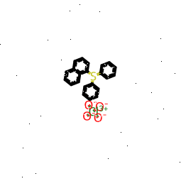 [O-][Cl+3]([O-])([O-])[O-].c1ccc([S+](c2ccccc2)c2cccc3ccccc23)cc1